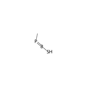 CP=BS